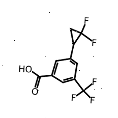 O=C(O)c1cc(C2CC2(F)F)cc(C(F)(F)F)c1